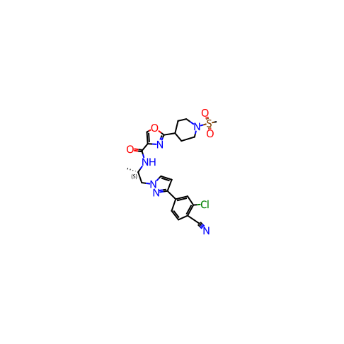 C[C@@H](Cn1ccc(-c2ccc(C#N)c(Cl)c2)n1)NC(=O)c1coc(C2CCN(S(C)(=O)=O)CC2)n1